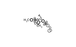 Cc1ccc(S(=O)(=O)n2ccc3c(-c4cc(S(=O)(=O)N5CCC(OC6CCCCO6)CC5)ccc4OCC4CC4)cn(C)c(=O)c32)cc1